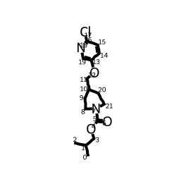 CC(C)COC(=O)N1CCC(COc2ccc(Cl)nc2)CC1